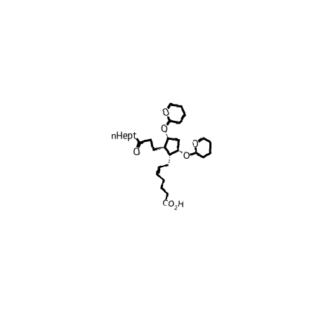 CCCCCCCC(=O)CC[C@@H]1[C@@H](C/C=C\CCCC(=O)O)[C@@H](OC2CCCCO2)C[C@H]1OC1CCCCO1